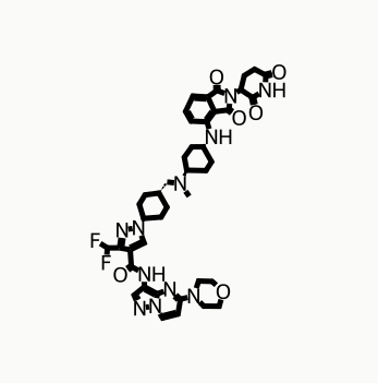 CN(C[C@H]1CC[C@H](n2cc(C(=O)Nc3cnn4ccc(N5CCOCC5)nc34)c(C(F)F)n2)CC1)[C@H]1CC[C@H](Nc2cccc3c2C(=O)N(C2CCC(=O)NC2=O)C3=O)CC1